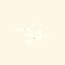 CC(C)[O-].CC(C)[O-].CC(C)[O-].NCCCCC[CH2][Ti+3]